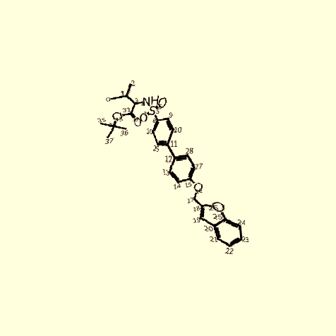 CC(C)C(NS(=O)(=O)c1ccc(-c2ccc(OCc3cc4ccccc4o3)cc2)cc1)C(=O)OC(C)(C)C